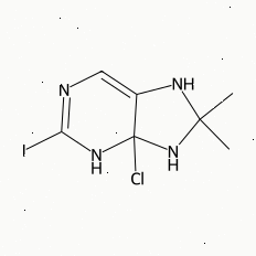 CC1(C)NC2=CN=C(I)NC2(Cl)N1